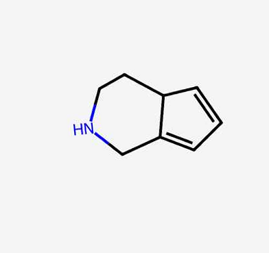 C1=CC2CCNCC2=C1